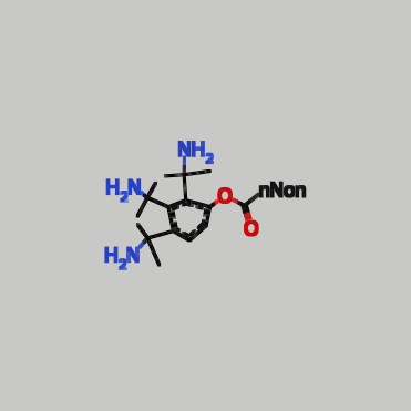 CCCCCCCCCC(=O)Oc1ccc(C(C)(C)N)c(C(C)(C)N)c1C(C)(C)N